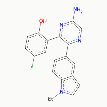 CCn1ccc2cc(-c3ncc(N)nc3-c3cc(F)ccc3O)ccc21